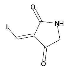 O=C1CNC(=O)/C1=C\I